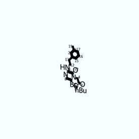 CCCCOC(=O)Cn1c(Br)cnc(NCCc2cccc(C)c2)c1=O